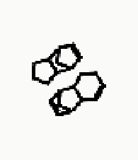 C1=CC2C3C=CC(C3)C2CC1.C1=CC2CC1C1CCCC21